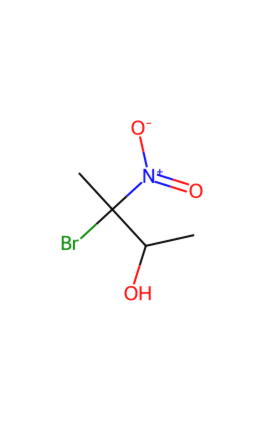 CC(O)C(C)(Br)[N+](=O)[O-]